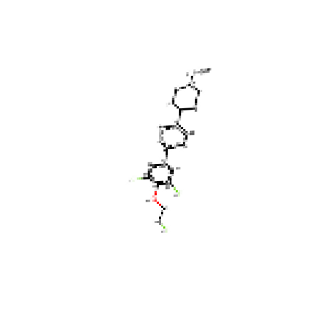 CCCCCC1CCC(c2ccc(-c3cc(F)c(OCCF)c(F)c3)cc2)CC1